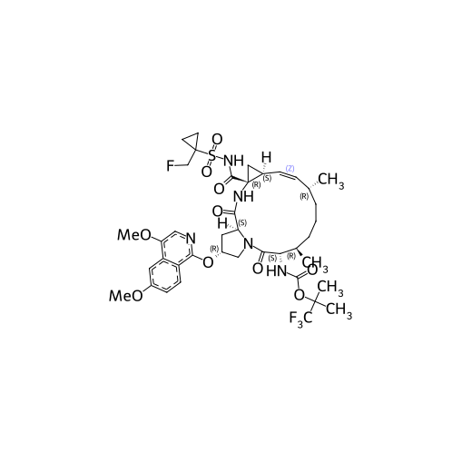 COc1ccc2c(O[C@@H]3C[C@H]4C(=O)N[C@]5(C(=O)NS(=O)(=O)C6(CF)CC6)C[C@H]5/C=C\[C@H](C)CCC[C@@H](C)[C@H](NC(=O)OC(C)(C)C(F)(F)F)C(=O)N4C3)ncc(OC)c2c1